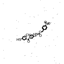 CN1C[C@@H](S)C[C@H]1C(=O)N1CC[C@@H](CNC(=O)OCc2ccc([N+](=O)[O-])cc2)C1